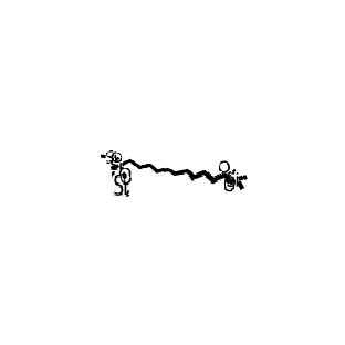 C[Si](C)(C)OC(=O)CCCCCCCCCC[Si](C)(O[Si](C)(C)C)O[Si](C)(C)C